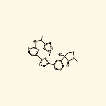 CC(Nc1nccc(-c2nc(-c3cccc([C@]4(O)CCN(C)C4=O)c3)cs2)n1)c1cnn(C)c1